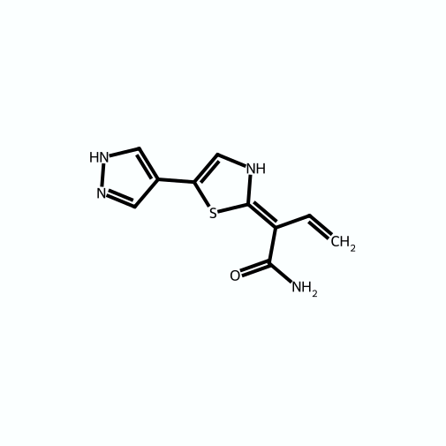 C=C/C(C(N)=O)=C1\NC=C(c2cn[nH]c2)S1